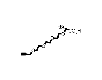 C#CCOCCOCCOCCOC(C(=O)O)C(C)(C)C